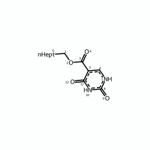 CCCCCCCCOC(=O)c1c[nH]c(=O)[nH]c1=O